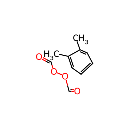 Cc1ccccc1C.O=COOC=O